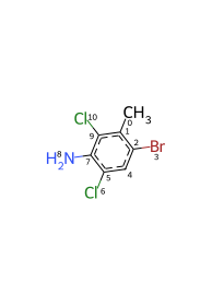 Cc1c(Br)cc(Cl)c(N)c1Cl